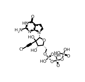 Nc1nc2c(ccn2[C@@H]2O[C@H](COP(=O)(O)OP(=O)(O)OP(=O)(O)O)[C@H](O)C2(O)C#CCl)c(=O)[nH]1